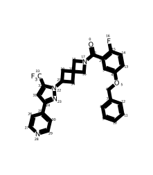 O=C(c1cc(OCc2ccccc2)ccc1F)N1CC2(CC(n3nc(-c4ccncc4)cc3C(F)(F)F)C2)C1